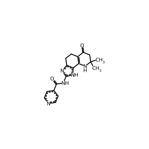 CC1(C)CC(=O)C2=C(N1)c1[nH]c(NC(=O)c3ccncc3)nc1CC2